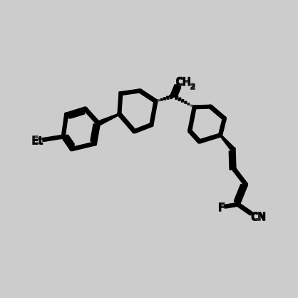 C=C([C@H]1CC[C@H](/C=C/C=C(\F)C#N)CC1)[C@H]1CC[C@H](c2ccc(CC)cc2)CC1